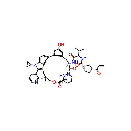 C=CC(=O)C1CC[C@H](C(=O)N(C)C(C(=O)N[C@H]2Cc3cc(O)cc(c3)-c3ccc4c(c3)c(c(-c3cccnc3)n4C3CC3)CC(C)(C)COC(=O)[C@@H]3CCCN(N3)C2=O)C(C)C)C1